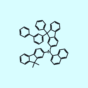 CC1(C)c2ccccc2-c2ccc(N(c3ccc4c(c3)C(c3ccccc3)(c3cccc(-c5ccccc5)c3)c3ccccc3-4)c3cccc4ccccc34)cc21